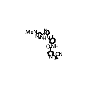 CNc1cc(-n2nccc2Nc2cc(NC(=O)c3ccnc(C4(C#N)CC4)c3)ccc2C)ncn1